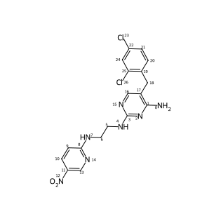 Nc1nc(NCCNc2ccc([N+](=O)[O-])cn2)ncc1Cc1ccc(Cl)cc1Cl